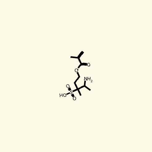 C=C(C)C(=O)OCCC(C)(C(C)N)S(=O)(=O)O